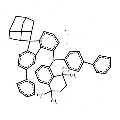 CC1(C)CCC(C)(C)c2c(N(c3ccc(-c4ccccc4)cc3)c3cccc4c3-c3cc(-c5ccccc5)ccc3C43C4CC5CC6CC3C64C5)cccc21